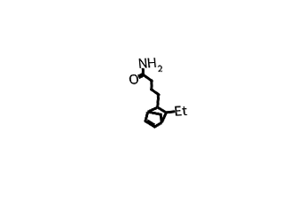 CCC1C2C=CC(C2)C1CCCC(N)=O